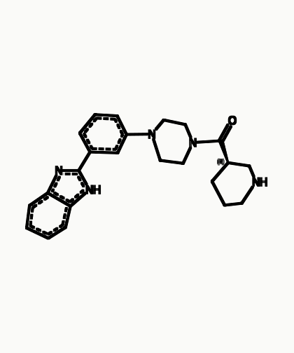 O=C([C@@H]1CCCNC1)N1CCN(c2cccc(-c3nc4ccccc4[nH]3)c2)CC1